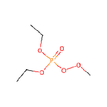 CCOP(=O)(OCC)OOC